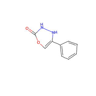 O=C1NNC(c2ccccc2)=CO1